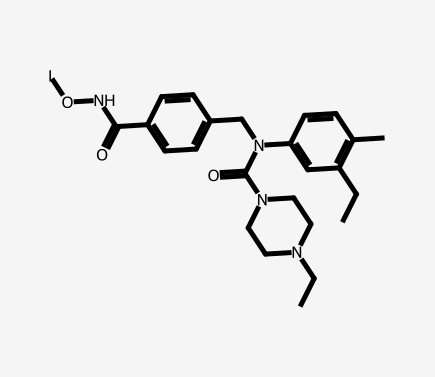 CCc1cc(N(Cc2ccc(C(=O)NOI)cc2)C(=O)N2CCN(CC)CC2)ccc1C